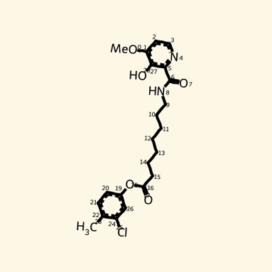 COc1ccnc(C(=O)NCCCCCCCC(=O)Oc2ccc(C)c(Cl)c2)c1O